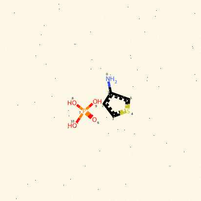 Nc1ccsc1.O=P(O)(O)O